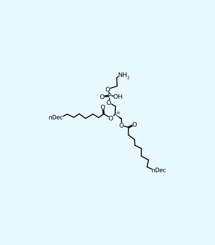 CCCCCCCCCCCCCCCCCC(=O)OC[C@H](COP(=O)(O)OCCN)OC(=O)CCCCCCCCCCCCCCCC